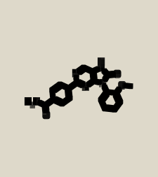 COc1ccccc1-n1c(=O)[nH]c2cnc(-c3ccc(C(N)=O)cc3)nc21